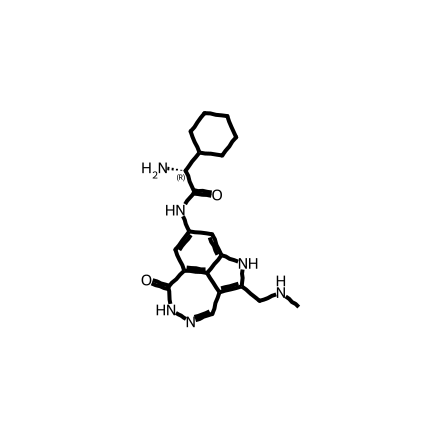 CNCc1[nH]c2cc(NC(=O)[C@H](N)C3CCCCC3)cc3c2c1C=NNC3=O